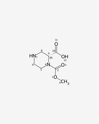 COC(=O)N1CCNC[C@@H]1C(=O)O